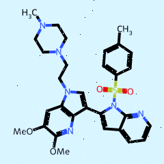 COc1cc2c(nc1OC)c(-c1cc3cccnc3n1S(=O)(=O)c1ccc(C)cc1)cn2CCN1CCN(C)CC1